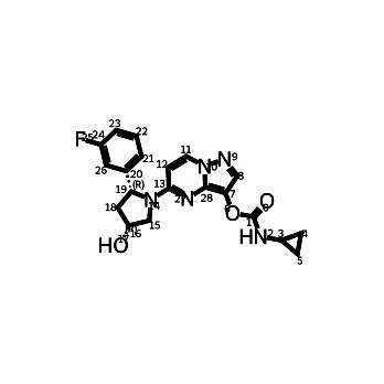 O=C(NC1CC1)Oc1cnn2ccc(N3C[C@H](O)C[C@@H]3c3cccc(F)c3)nc12